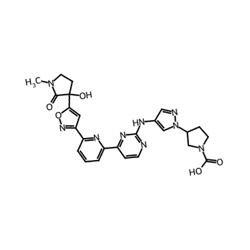 CN1CCC(O)(c2cc(-c3cccc(-c4ccnc(Nc5cnn(C6CCN(C(=O)O)C6)c5)n4)n3)no2)C1=O